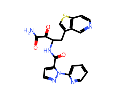 NC(=O)C(=O)C(Cc1csc2ccncc12)NC(=O)c1ccnn1-c1ccccn1